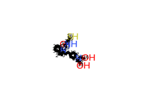 CC1(C)C(/C=C/c2ccc(N(CCO)CCO)cc2)=[N+](CC(=O)NCCS)c2ccccc21